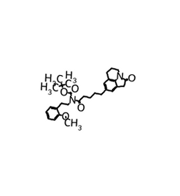 COc1ccccc1CCN(C(=O)CCCCc1cc2c3c(c1)CC(=O)N3CCC2)C(=O)OC(C)(C)C